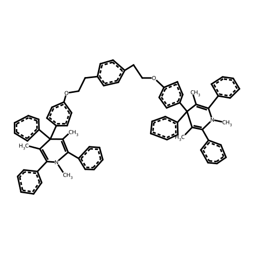 CC1=C(c2ccccc2)N(C)C(c2ccccc2)=C(C)C1(c1ccccc1)c1ccc(OCCc2ccc(CCOc3ccc(C4(c5ccccc5)C(C)=C(c5ccccc5)N(C)C(c5ccccc5)=C4C)cc3)cc2)cc1